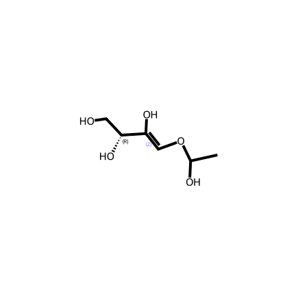 CC(O)O/C=C(\O)[C@H](O)CO